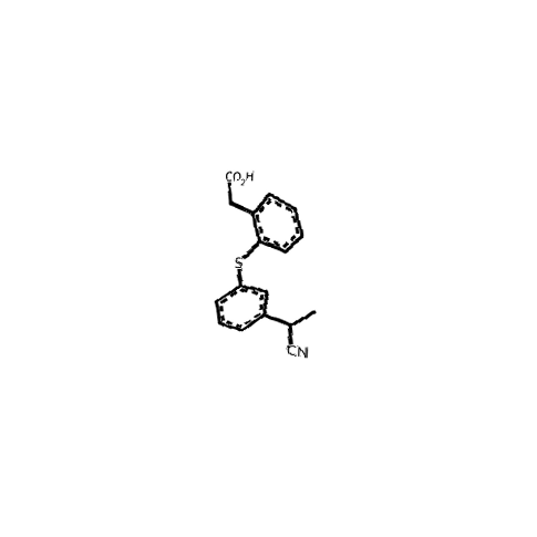 CC(C#N)c1cccc(Sc2ccccc2CC(=O)O)c1